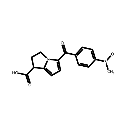 C[S+]([O-])c1ccc(C(=O)c2ccc3n2CCC3C(=O)O)cc1